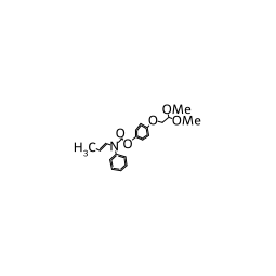 CC=CN(C(=O)Oc1ccc(OCC(OC)OC)cc1)c1ccccc1